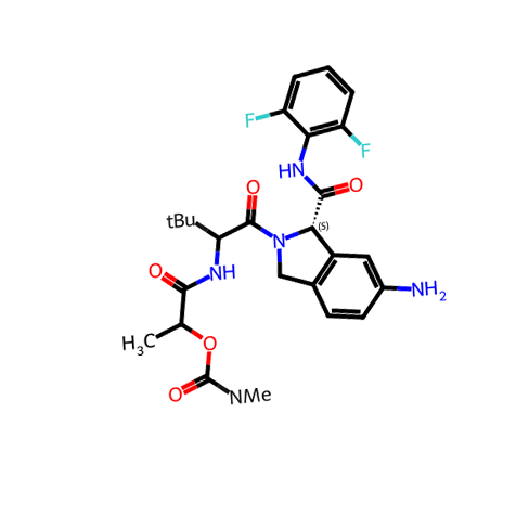 CNC(=O)OC(C)C(=O)NC(C(=O)N1Cc2ccc(N)cc2[C@H]1C(=O)Nc1c(F)cccc1F)C(C)(C)C